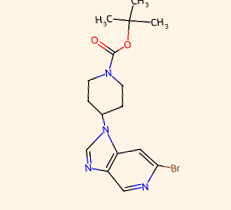 CC(C)(C)OC(=O)N1CCC(n2cnc3cnc(Br)cc32)CC1